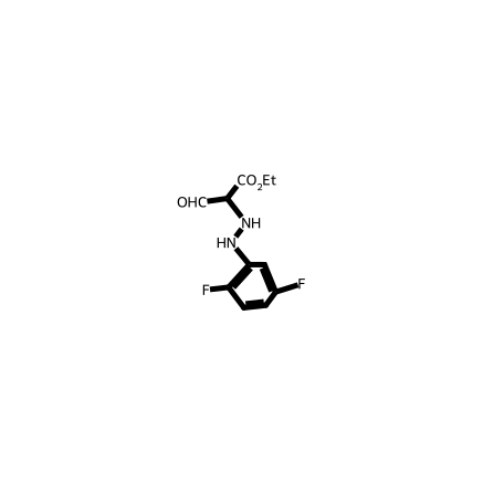 CCOC(=O)C(C=O)NNc1cc(F)ccc1F